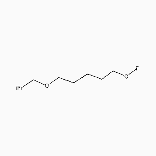 CC(C)COCCCCCOF